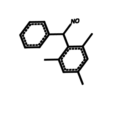 Cc1cc(C)c(C(N=O)c2ccccc2)c(C)c1